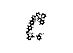 COc1ccccc1OCC(=O)N1CCC[C@H]1c1ncc(-c2ccc(-c3ccc(-c4cnc([C@@H]5CCCN5C(=O)[C@@H](c5ccccc5)N5CCCCC5)[nH]4)cc3)cc2)[nH]1